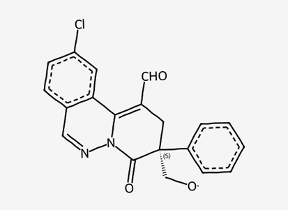 [O]C[C@@]1(c2ccccc2)CC(C=O)=C2c3cc(Cl)ccc3C=NN2C1=O